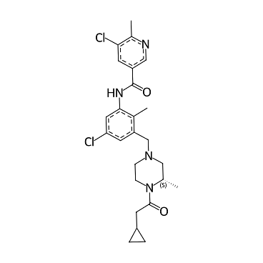 Cc1ncc(C(=O)Nc2cc(Cl)cc(CN3CCN(C(=O)CC4CC4)[C@@H](C)C3)c2C)cc1Cl